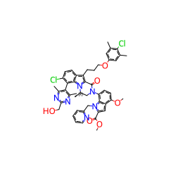 COC(=O)c1cc2c(OC)ccc(N3C[C@@H](C)n4c(c(CCCOc5cc(C)c(Cl)c(C)c5)c5ccc(Cl)c(-c6c(C)nc(CO)nc6C)c54)C3=O)c2n1Cc1ccccn1